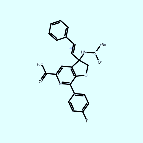 CC(C)(C)[S+]([O-])NC1(/C=C/c2ccccc2)COc2c1cc(C(=O)C(F)(F)F)nc2-c1ccc(F)cc1